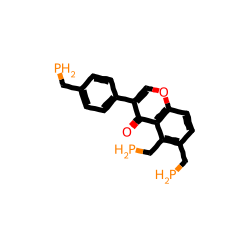 O=c1c(-c2ccc(CP)cc2)coc2ccc(CP)c(CP)c12